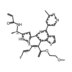 C=CC(=O)N[C@H](C)c1cc(-c2nc(-c3cnnc(C)c3)c3ccsc3c2/C(C(=C)OCCOC)=C(F)/C=C/F)n[nH]1